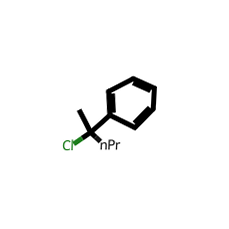 [CH2]CCC(C)(Cl)c1ccccc1